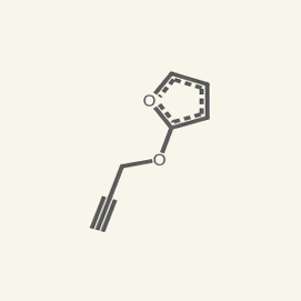 C#CCOc1ccco1